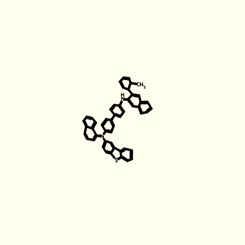 CC1C=CC=CC1c1cc2ccccc2cc1Nc1ccc(-c2ccc(N(c3ccc4sc5ccccc5c4c3)c3cccc4ccccc34)cc2)cc1